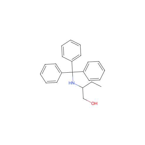 CCC(CO)NC(c1ccccc1)(c1ccccc1)c1ccccc1